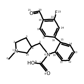 CN1CCC(CN(C(=O)O)c2ccccc2-c2ccc(C=O)c(F)c2)C1